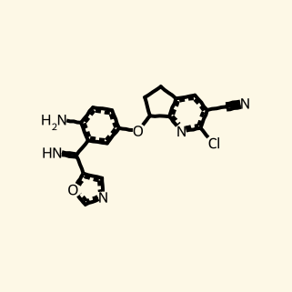 N#Cc1cc2c(nc1Cl)C(Oc1ccc(N)c(C(=N)c3cnco3)c1)CC2